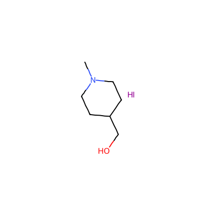 CN1CCC(CO)CC1.I